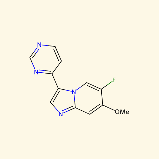 COc1cc2ncc(-c3ccncn3)n2cc1F